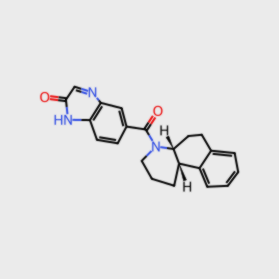 O=C(c1ccc2[nH]c(=O)cnc2c1)N1CCC[C@H]2c3ccccc3CC[C@H]21